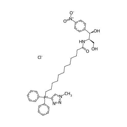 Cn1cc([P+](CCCCCCCCCCCC(=O)N[C@H](CO)[C@H](O)c2ccc([N+](=O)[O-])cc2)(c2ccccc2)c2ccccc2)nn1.[Cl-]